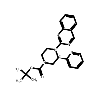 CC(C)(C)OC(=O)N1CCN(c2ncc3ccccc3n2)[C@@H](c2ccccn2)C1